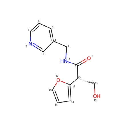 O=C(NCc1cccnc1)[C@H](CO)c1ccco1